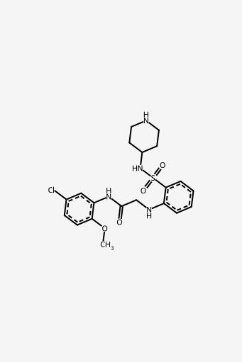 COc1ccc(Cl)cc1NC(=O)CNc1ccccc1S(=O)(=O)NC1CCNCC1